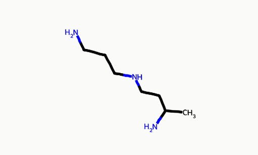 CC(N)CCNCCCN